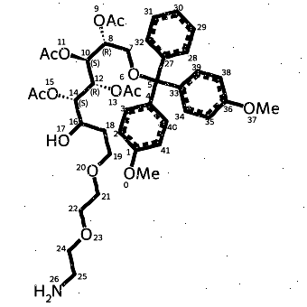 COc1ccc(C(OC[C@@H](OC(C)=O)[C@H](OC(C)=O)[C@H](OC(C)=O)[C@@H](OC(C)=O)C(O)CCOCCOCCN)(c2ccccc2)c2ccc(OC)cc2)cc1